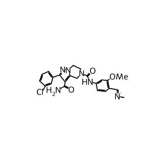 C/N=C/c1ccc(NC(=O)N2CCn3nc(-c4cccc(Cl)c4)c(C(N)=O)c3C2)cc1OC